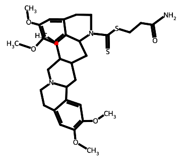 CCC1CN2CCc3cc(OC)c(OC)cc3C2CC1CC1c2cc(OC)c(OC)cc2CCN1C(=S)SCCC(N)=O